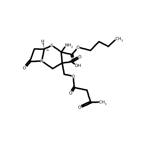 CCCCOC(=O)C1(N)S[C@@H]2CC(=O)N2CC1(COC(=O)CC(C)=O)C(=O)O